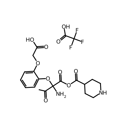 CC(=O)C(N)(Oc1ccccc1OCC(=O)O)C(=O)OC(=O)C1CCNCC1.O=C(O)C(F)(F)F